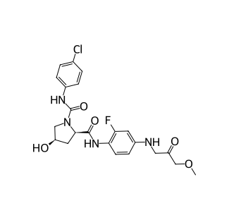 COCC(=O)CNc1ccc(NC(=O)[C@H]2C[C@@H](O)CN2C(=O)Nc2ccc(Cl)cc2)c(F)c1